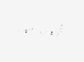 CNS(=O)(=O)c1cccc(OCC(O)CNC2COC3(CCN(S(=O)(=O)c4cccc(-c5cccc(CN(C)C)c5)c4)CC3)C2)c1